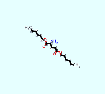 CCCCCCOC(=O)CC[C@H](N)C(=O)OCCCCCC